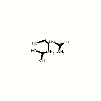 CCC(NC(C)N)[SiH2]C(O)O